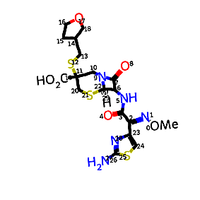 CON=C(C(=O)NC1C(=O)N2CC(SCC3CCOC3)(C(=O)O)CS[C@H]12)c1csc(N)n1